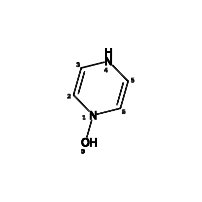 ON1C=CNC=C1